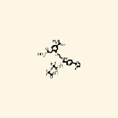 CN1CCN=C1c1ccc(C(=O)NCCOc2cc(C(=N)N)ccc2CC(=O)C(=O)O)cc1.O=C(O)C(F)(F)F.O=C(O)C(F)(F)F